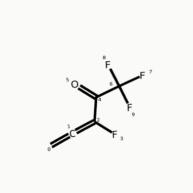 C=C=C(F)C(=O)C(F)(F)F